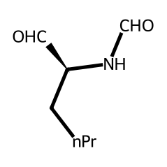 CCCC[C@@H](C=O)NC=O